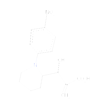 C=C(C(=O)O)C(C)C1CCCCN1c1ccc([N+](=O)[O-])cc1